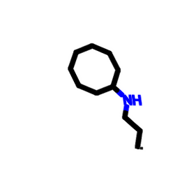 [CH2]CCNC1CCCCCCC1